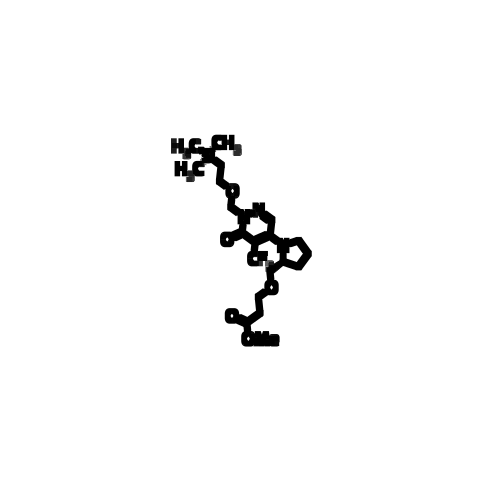 COC(=O)CCOC[C@@H]1CCCN1c1cnn(COCC[Si](C)(C)C)c(=O)c1C(F)(F)F